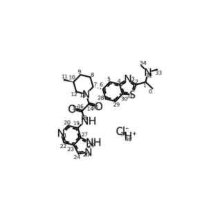 CC(c1nc2cc([C@H]3CC[C@H](C)CN3C(=O)C(=O)Nc3cncc4cn[nH]c34)ccc2s1)N(C)C.[Cl-].[H+]